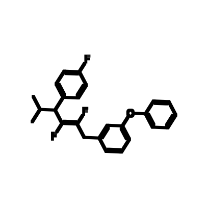 CC(C)C(/C(F)=C(\F)Cc1cccc(Oc2ccccc2)c1)c1ccc(F)cc1